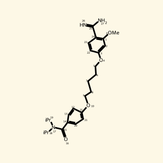 COc1cc(OCCCCCOc2ccc(C(=O)N(C(C)C)C(C)C)cc2)ccc1C(=N)N